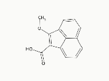 COC1=C(C(=O)O)c2cccc3cccc1c23